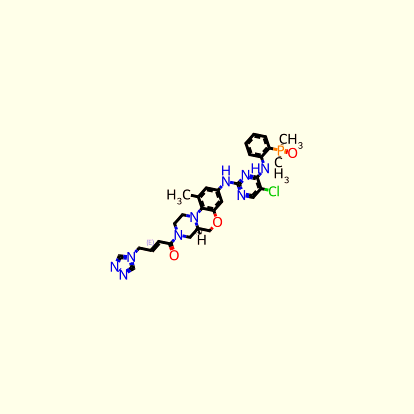 Cc1cc(Nc2ncc(Cl)c(Nc3ccccc3P(C)(C)=O)n2)cc2c1N1CCN(C(=O)/C=C/Cn3cnnc3)C[C@H]1CO2